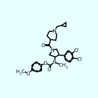 COc1ccc(OC(=O)N(C)C2CN(C(=O)C3CCN(CC4CC4)CC3)CC2c2ccc(Cl)c(Cl)c2)cc1